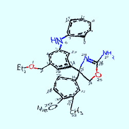 CCOCc1cc(Nc2ccccc2)cc(C2(c3ccc(OC)c(C)c3)COC(N)=N2)c1